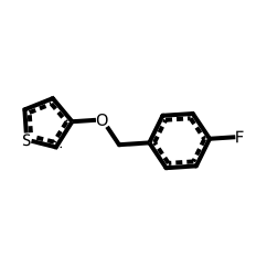 Fc1ccc(COc2[c]scc2)cc1